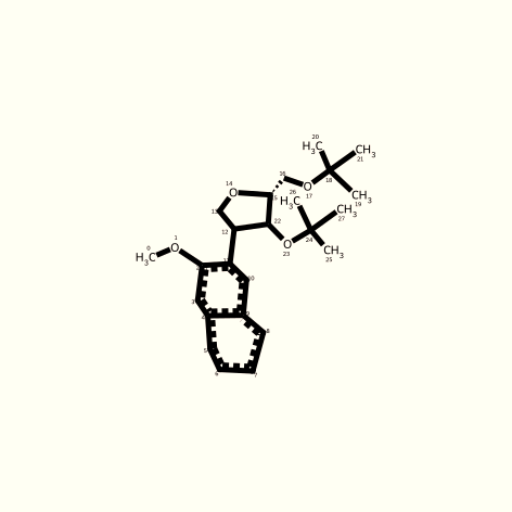 COc1cc2ccccc2cc1C1CO[C@H](COC(C)(C)C)C1OC(C)(C)C